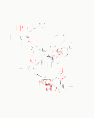 CO[C@H]1C[C@H](O[C@H]2[C@H](C)O[C@@H](O[C@@H]3/C(C)=C/C[C@@H]4CC(C[C@]5(C=C[C@H](C)[C@@H](C6CCCCC6)O5)O4)OC(=O)C4C=C(C)C(=O)[C@H]5OC/C(=C\C=C\[C@@H]3C)[C@@]45O)C[C@@H]2OC)O[C@@H](C)C1O